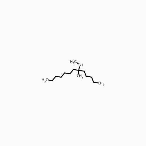 CBC(C)(CCCCC)CCCCCCC